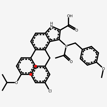 COc1ccc(CN(C(C)=O)c2c(C(=O)O)[nH]c3ccc(-c4ccc(OC(C)C)cc4)c(Cc4cccc(Cl)c4)c23)cc1